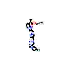 CCOC(=O)C1(c2cccn3cc(Cn4cc(CNCc5ncn6ccc(Cl)cc56)cn4)nc23)CC1